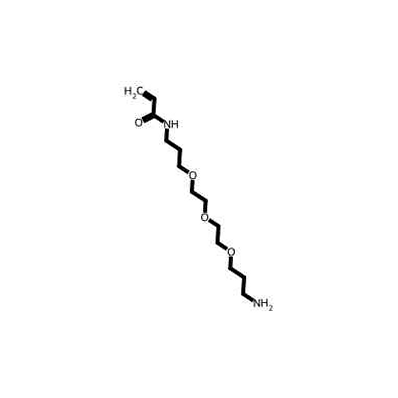 C=CC(=O)NCCCOCCOCCOCCCN